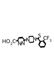 O=C(O)c1ccc(N2CCN(C(=S)c3ccccc3C(F)(F)F)CC2)nn1